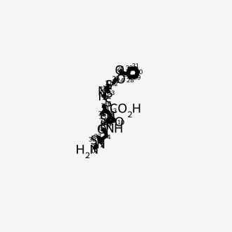 Nc1nc(CC(=O)NC2C(=O)N3C(C(=O)O)=C(CSc4nnc(SCCOC(=O)c5ccccc5)s4)CS[C@H]23)cs1